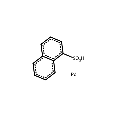 O=S(=O)(O)c1cccc2ccccc12.[Pd]